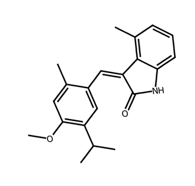 COc1cc(C)c(C=C2C(=O)Nc3cccc(C)c32)cc1C(C)C